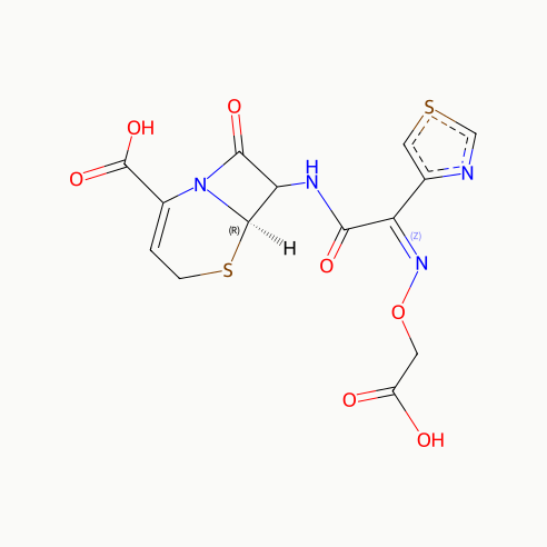 O=C(O)CO/N=C(\C(=O)NC1C(=O)N2C(C(=O)O)=CCS[C@H]12)c1cscn1